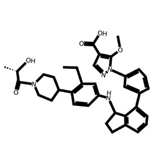 CCc1cc(NC2CCc3cccc(-c4cccc(-n5ncc(C(=O)O)c5OC)c4)c32)ccc1C1CCN(C(=O)[C@H](C)O)CC1